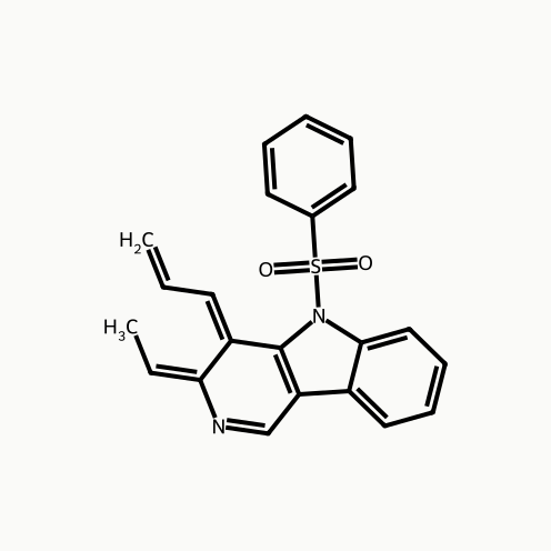 C=C/C=c1\c(=C/C)ncc2c3ccccc3n(S(=O)(=O)c3ccccc3)c12